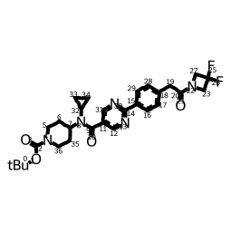 CC(C)(C)OC(=O)N1CCC(N(C(=O)c2cnc(-c3ccc(CC(=O)N4CC(F)(F)C4)cc3)nc2)C2CC2)CC1